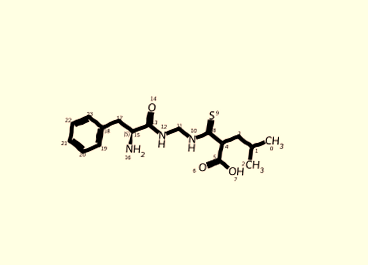 CC(C)CC(C(=O)O)C(=S)NCNC(=O)[C@@H](N)Cc1ccccc1